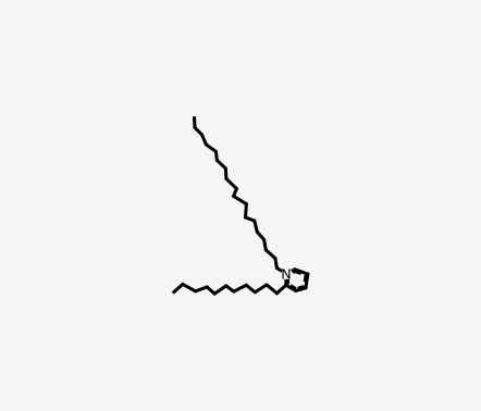 CCCCCCCCCCCCCCCCCC[n+]1ccccc1CCCCCCCCCCC